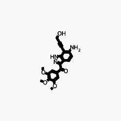 COc1cc(C(=O)c2n[nH]c3c(C#CCO)c(N)ccc23)cc(OC)c1OC